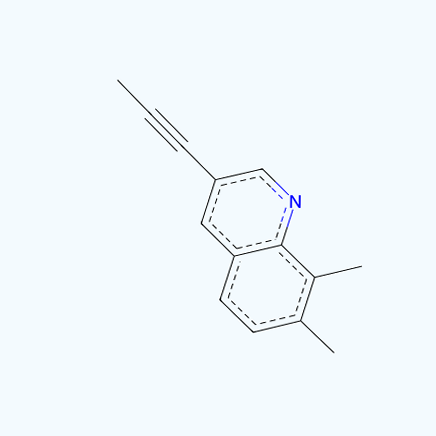 CC#Cc1cnc2c(C)c(C)ccc2c1